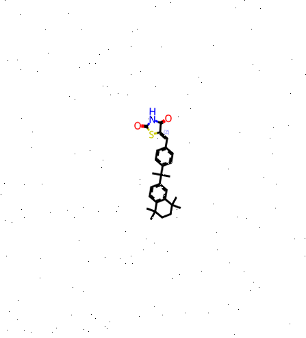 CC1(C)CCC(C)(C)c2cc(C(C)(C)c3ccc(/C=C4\SC(=O)NC4=O)cc3)ccc21